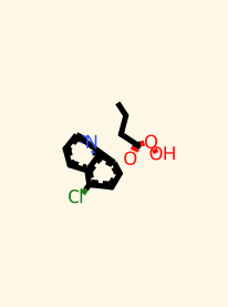 CCCC(=O)OO.Clc1ccc2c3nc-2ccc13